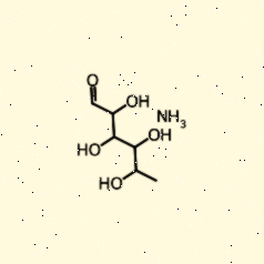 CC(O)C(O)C(O)C(O)C=O.N